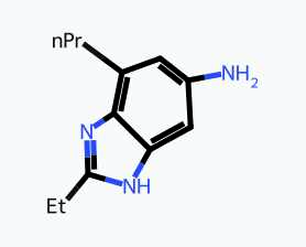 CCCc1cc(N)cc2[nH]c(CC)nc12